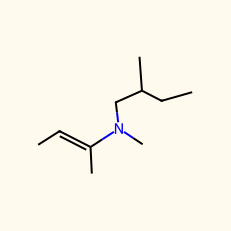 C/C=C(\C)N(C)CC(C)CC